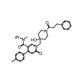 Cc1ccc(-c2cc(=O)n(CC3(O)CCN(C(=O)CCc4ccccc4)CC3)cc2C(=O)N(C)C(C)C)cc1